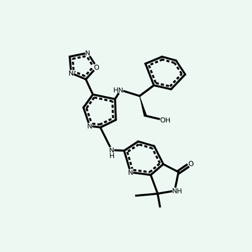 CC1(C)NC(=O)c2ccc(Nc3cc(N[C@H](CO)c4ccccc4)c(-c4ncno4)cn3)nc21